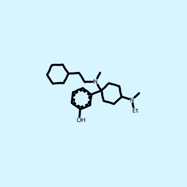 CCN(C)C1CCC(c2cccc(O)c2)(N(C)CCC2CCCCC2)CC1